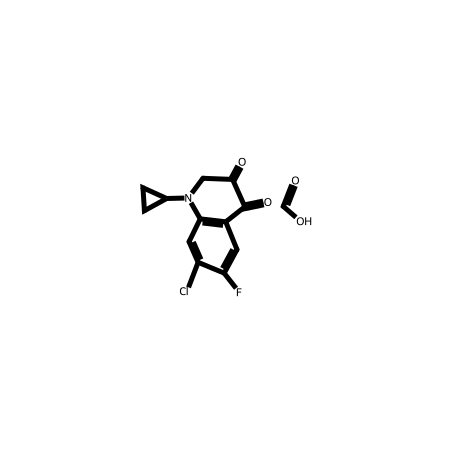 O=C1CN(C2CC2)c2cc(Cl)c(F)cc2C1=O.O=CO